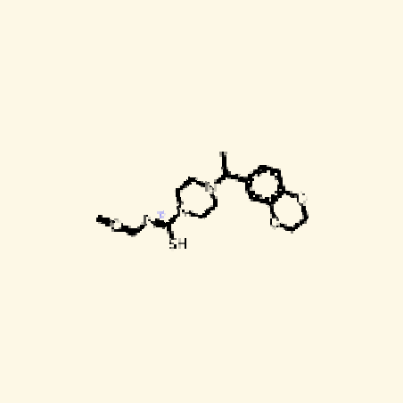 C=C=C/N=C(\S)N1CCN(C(C)c2ccc3c(c2)OCCO3)CC1